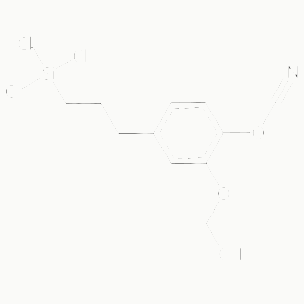 CCOc1cc(CCC[Si](Cl)(Cl)Cl)ccc1OC#N